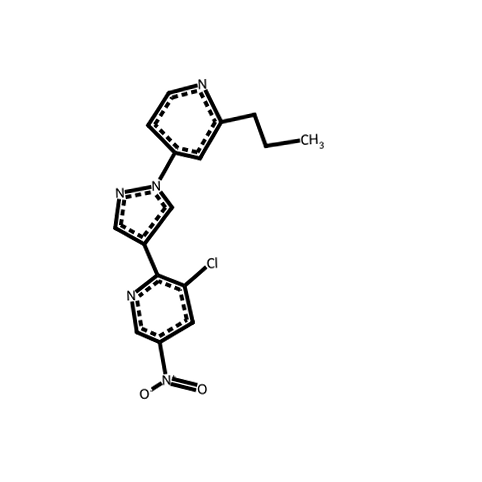 CCCc1cc(-n2cc(-c3ncc([N+](=O)[O-])cc3Cl)cn2)ccn1